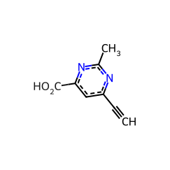 C#Cc1cc(C(=O)O)nc(C)n1